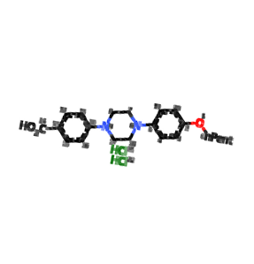 CCCCCOc1ccc(N2CCN(c3ccc(C(=O)O)cc3)CC2)cc1.Cl.Cl